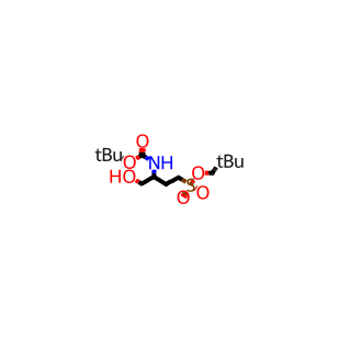 CC(C)(C)COS(=O)(=O)CCC(CO)NC(=O)OC(C)(C)C